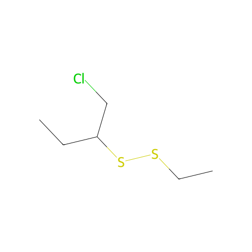 CCSSC(CC)CCl